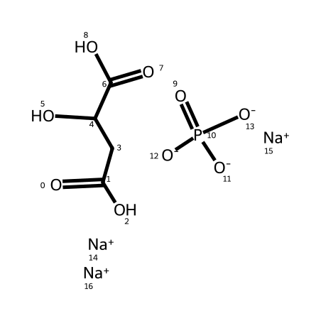 O=C(O)CC(O)C(=O)O.O=P([O-])([O-])[O-].[Na+].[Na+].[Na+]